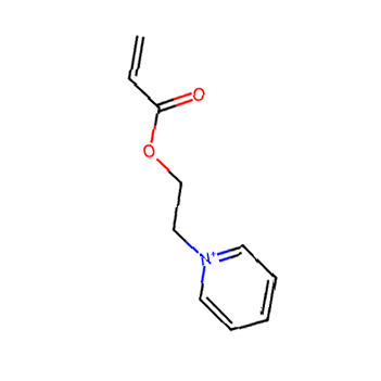 C=CC(=O)OCC[n+]1ccccc1